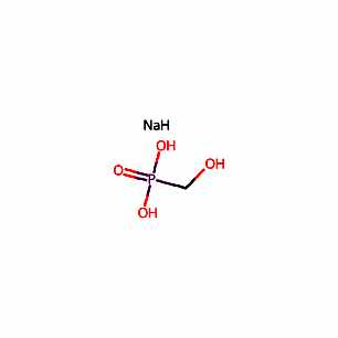 O=P(O)(O)CO.[NaH]